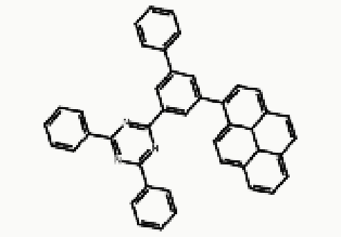 C1=CC2=CC=C3C(c4cc(-c5ccccc5)cc(-c5nc(-c6ccccc6)nc(-c6ccccc6)n5)c4)=CC=C4C=CC(=C1)C2C43